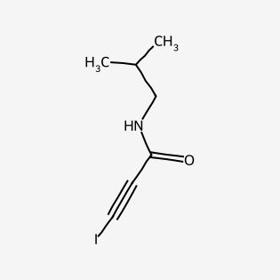 CC(C)CNC(=O)C#CI